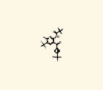 Cc1nc(NC(=O)C(C)(C)C)c(C(=O)C23CC(C(F)(F)F)(C2)C3)cc1C(F)(F)F